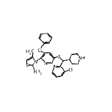 CC1=CSC(N)N1c1ncc(SC(c2ncccc2Cl)C2CCNCC2)cc1Oc1ccccc1